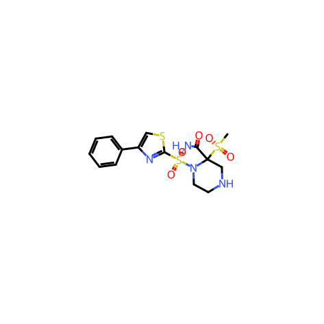 CS(=O)(=O)C1(C(N)=O)CNCCN1S(=O)(=O)c1nc(-c2ccccc2)cs1